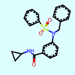 O=C(NC1CC1)c1cccc(N(Cc2ccccc2)S(=O)(=O)c2ccccc2)c1